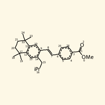 COC(=O)c1ccc(C=Cc2cc3c(cc2CC(C)C)C(C)(C)CCC3(C)C)cc1